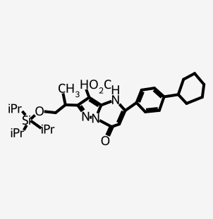 CC(CO[Si](C(C)C)(C(C)C)C(C)C)c1nn2c(=O)cc(-c3ccc(C4CCCCC4)cc3)[nH]c2c1C(=O)O